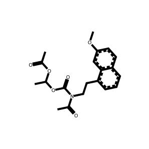 COc1ccc2cccc(CCN(C(C)=O)C(=O)OC(C)OC(C)=O)c2c1